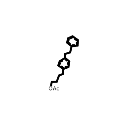 CC(=O)OCCCCc1ccc(CCc2ccccc2)cc1